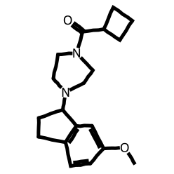 COc1ccc2c(c1)C(N1CCN(C(=O)C3CCC3)CC1)CC2